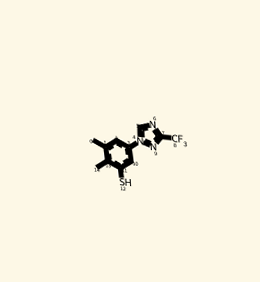 Cc1cc(-n2cnc(C(F)(F)F)n2)cc(S)c1C